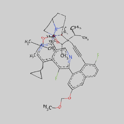 COCOc1cc(-c2ncc3c(N4CC5CCC(C4)N5C(=O)OC(C)(C)C)ncc(C4CC4)c3c2F)c2c(C#C[Si](C(C)C)(C(C)C)C(C)C)c(F)ccc2c1